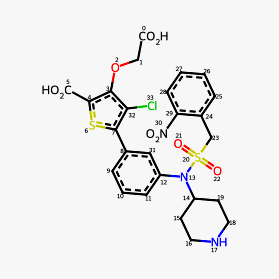 O=C(O)COc1c(C(=O)O)sc(-c2cccc(N(C3CCNCC3)S(=O)(=O)Cc3ccccc3[N+](=O)[O-])c2)c1Cl